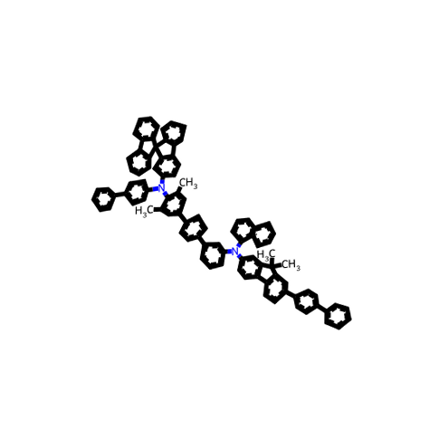 Cc1cc(-c2ccc(-c3cccc(N(c4ccc5c(c4)C(C)(C)c4cc(-c6ccc(-c7ccccc7)cc6)ccc4-5)c4cccc5ccccc45)c3)cc2)cc(C)c1N(c1ccc(-c2ccccc2)cc1)c1ccc2c(c1)C1(c3ccccc3-c3ccccc31)c1ccccc1-2